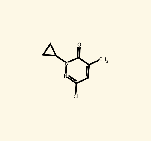 Cc1cc(Cl)nn(C2CC2)c1=O